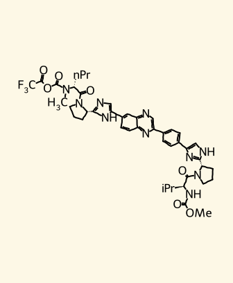 CCC[C@H](C(=O)N1CCC[C@H]1c1ncc(-c2ccc3nc(-c4ccc(-c5c[nH]c([C@@H]6CCCN6C(=O)[C@@H](NC(=O)OC)C(C)C)n5)cc4)cnc3c2)[nH]1)N(C)C(=O)OC(=O)C(F)(F)F